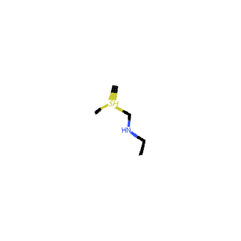 C#[SH](C)CNCC